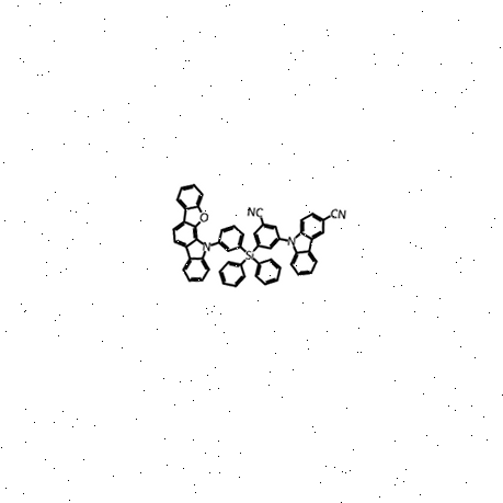 N#Cc1cc(-n2c3ccccc3c3cc(C#N)ccc32)cc([Si](c2ccccc2)(c2ccccc2)c2cccc(-n3c4ccccc4c4ccc5c6ccccc6oc5c43)c2)c1